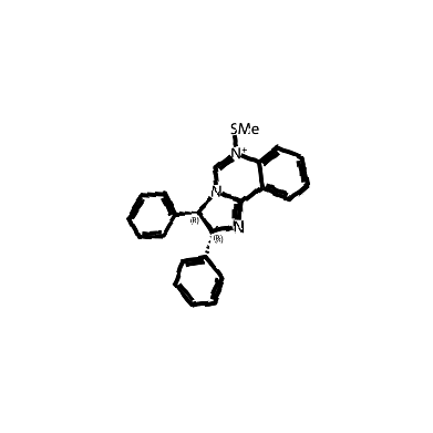 CS[N+]1=CN2C(=N[C@H](c3ccccc3)[C@H]2c2ccccc2)c2ccccc21